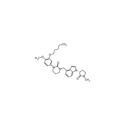 CCCCCOc1cc(N2CCCN(Cc3cccc4c3ccn4[C@@H]3CCN(C)C3=O)C2=O)ccc1OC